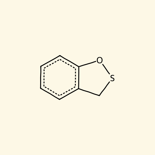 c1ccc2c(c1)CSO2